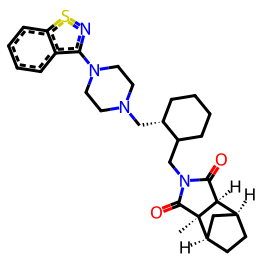 C[C@]12C(=O)N(CC3CCCC[C@H]3CN3CCN(c4nsc5ccccc45)CC3)C(=O)[C@H]1[C@H]1CC[C@@H]2C1